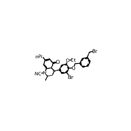 CCCC1=CC(=O)C2C(=C1)N(C#N)C(C)CC2c1cc(Br)c(OCc2cccc(CBr)c2)c(OCC)c1